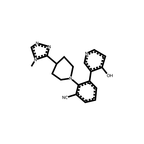 Cn1cnnc1C1CCN(c2c(C#N)cccc2-c2cnccc2O)CC1